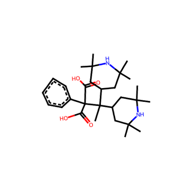 CC1(C)CC(C(C)(C2CC(C)(C)NC(C)(C)C2)C(C(=O)O)(C(=O)O)c2ccccc2)CC(C)(C)N1